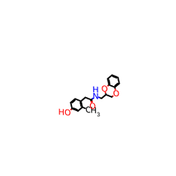 Cc1cc(O)ccc1CC(=O)NCC1COc2ccccc2O1